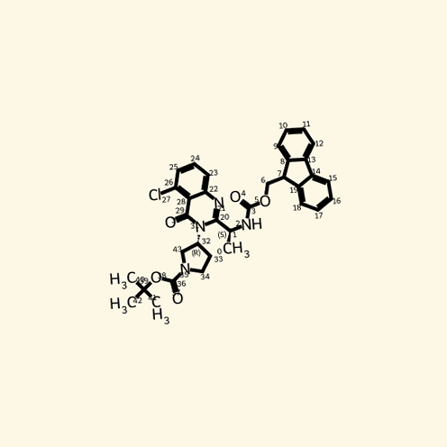 C[C@H](NC(=O)OCC1c2ccccc2-c2ccccc21)c1nc2cccc(Cl)c2c(=O)n1[C@@H]1CCN(C(=O)OC(C)(C)C)C1